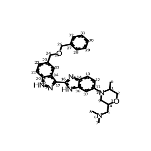 CC1COC(CN(C)C)CN1c1ccc2nc(-c3n[nH]c4ccc(COCc5ccccc5)cc34)[nH]c2c1